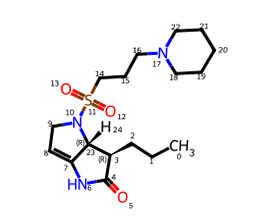 CCC[C@H]1C(=O)NC2=CCN(S(=O)(=O)CCCN3CCCCC3)[C@@H]21